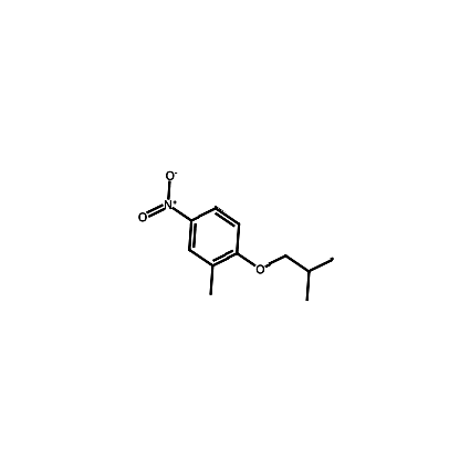 Cc1cc([N+](=O)[O-])ccc1OCC(C)C